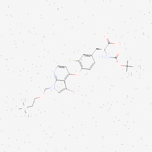 CC(C)(C)OC(=O)N[C@@H](Cc1ccc(Oc2ccnc3c2c(I)cn3COCC[Si](C)(C)C)c(F)c1)C(=O)O